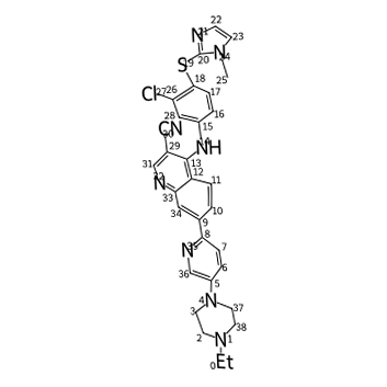 CCN1CCN(c2ccc(-c3ccc4c(Nc5ccc(Sc6nccn6C)c(Cl)c5)c(C#N)cnc4c3)nc2)CC1